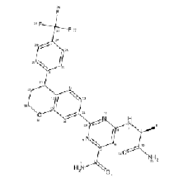 C[C@H](Nc1cc(C(N)=O)nc(-c2ccc3c(c2)OCCC3c2ccc(C(F)(F)F)cc2)n1)C(N)=O